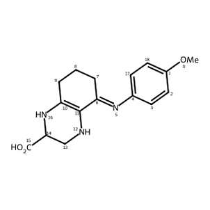 COc1ccc(/N=C2\CCCC3=C2NCC(C(=O)O)N3)cc1